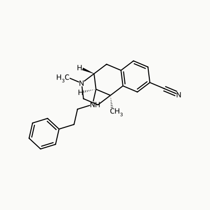 CN1CC[C@]2(C)c3cc(C#N)ccc3C[C@@H]1[C@@H]2NCCc1ccccc1